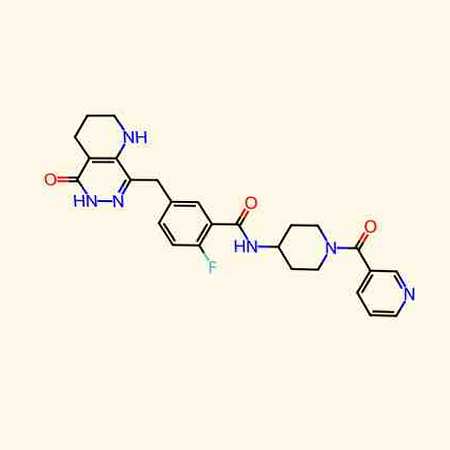 O=C(NC1CCN(C(=O)c2cccnc2)CC1)c1cc(Cc2n[nH]c(=O)c3c2NCCC3)ccc1F